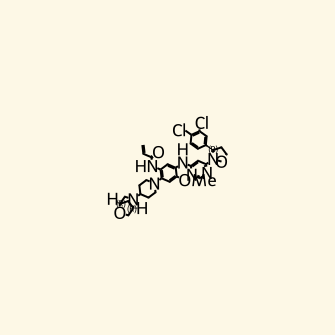 C=CC(=O)Nc1cc(Nc2cc(N3OCC[C@@H]3c3ccc(Cl)c(Cl)c3)ncn2)c(OC)cc1N1CCC(N2C[C@H]3C[C@@H]2CO3)CC1